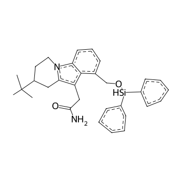 CC(C)(C)C1CCn2c(c(CC(N)=O)c3c(CO[SiH](c4ccccc4)c4ccccc4)cccc32)C1